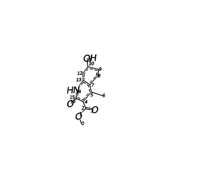 COC(=O)c1c(C)c2ccc(O)cc2[nH]c1=O